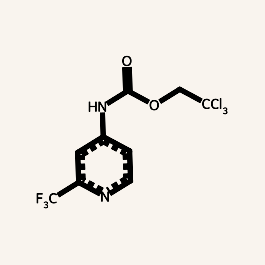 O=C(Nc1ccnc(C(F)(F)F)c1)OCC(Cl)(Cl)Cl